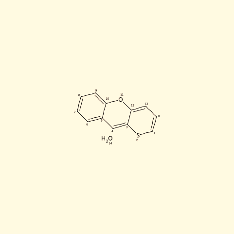 C1=CSC2=Cc3ccccc3OC2=C1.O